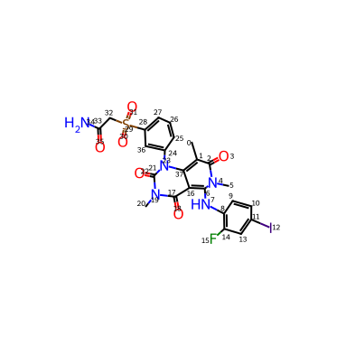 Cc1c(=O)n(C)c(Nc2ccc(I)cc2F)c2c(=O)n(C)c(=O)n(-c3cccc(S(=O)(=O)CC(N)=O)c3)c12